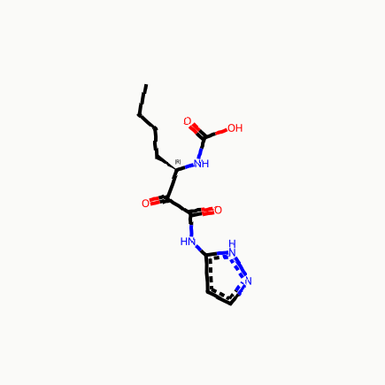 CCCC[C@@H](NC(=O)O)C(=O)C(=O)Nc1ccn[nH]1